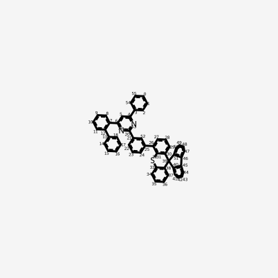 c1ccc(-c2cc(-c3ccccc3-c3ccccc3)nc(-c3cccc(-c4cccc5c4Sc4ccccc4C54c5ccccc5-c5ccccc54)c3)n2)cc1